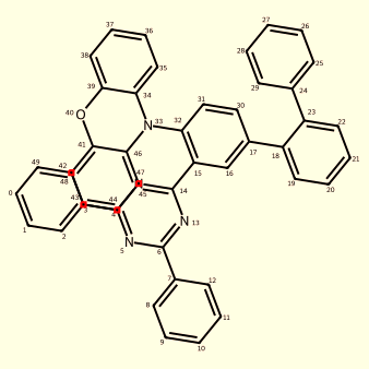 c1ccc(-c2nc(-c3ccccc3)nc(-c3cc(-c4ccccc4-c4ccccc4)ccc3N3c4ccccc4Oc4ccccc43)n2)cc1